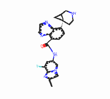 Cc1cn2cc(NC(=O)c3ccc([C@@]45CCNCC4C5)c4nccnc34)cc(F)c2n1